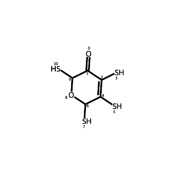 O=C1C(S)=C(S)C(S)OC1S